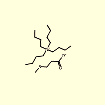 CCCC[N+](CCCC)(CCCC)CCCC.CSCCC(=O)[O-]